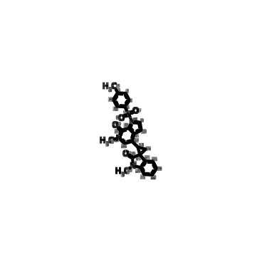 Cc1ccc(S(=O)(=O)n2ccc3c(C4CC45C(=O)N(C)c4ccccc45)cn(C)c(=O)c32)cc1